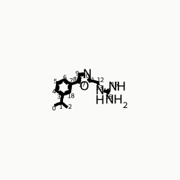 CC(C)c1cccc(-c2cnc(CNC(=N)N)o2)c1